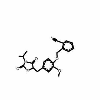 COc1cc(CC2SC(=O)N(C(C)C)C2=O)ccc1OCc1ccccc1C#N